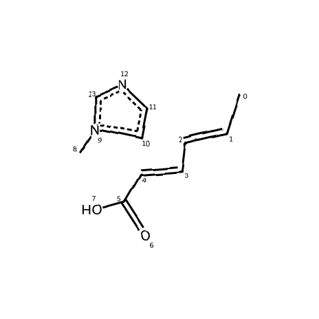 C/C=C/C=C/C(=O)O.Cn1ccnc1